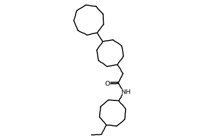 CCC1CCCC(NC(=O)CC2CCCC(C3CCCCCCCC3)CCC2)CCC1